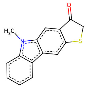 Cn1c2ccccc2c2cc3c(cc21)C(=O)CS3